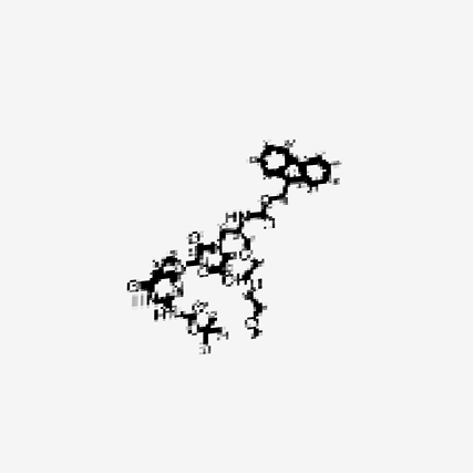 COCCOCCOC[C@@H](CN(CC(=O)O)C(=O)Cn1cnc2c(=O)[nH]c(NC(=O)OC(C)(C)C)nc21)NC(=O)OCC1c2ccccc2-c2ccccc21